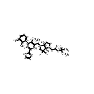 CCOC(=O)C1=C(CN2CC(F)(F)[C@H]3[C@@H]2CCN3CCOC(C)(C)C(=O)O)NC(c2nccs2)=N[C@H]1c1cccc(F)c1C